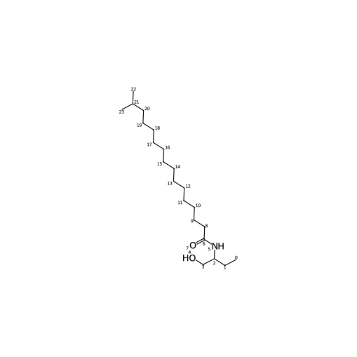 CCC(CO)NC(=O)CCCCCCCCCCCCCC(C)C